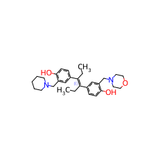 CC/C(=C(/CC)c1ccc(O)c(CN2CCOCC2)c1)c1ccc(O)c(CN2CCCCC2)c1